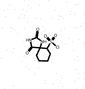 O=C1NC(=O)C2(CCCCC2S(=O)(=O)Cl)N1